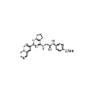 COc1ccc(NC(=O)CN(C)c2nc(C3=NCC4CCN=CC4=C3)nc3c2CCC3)cn1